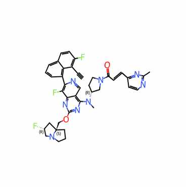 C#Cc1c(F)ccc2cccc(-c3ncc4c(N(C)[C@@H]5CCN(C(=O)C=Cc6ccnc(C)n6)C5)nc(OC[C@@]56CCCN5C[C@H](F)C6)nc4c3F)c12